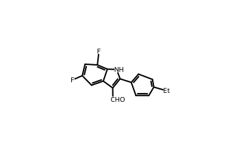 CCc1ccc(-c2[nH]c3c(F)cc(F)cc3c2C=O)cc1